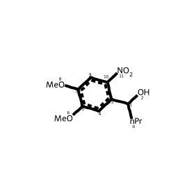 CCCC(O)c1cc(OC)c(OC)cc1[N+](=O)[O-]